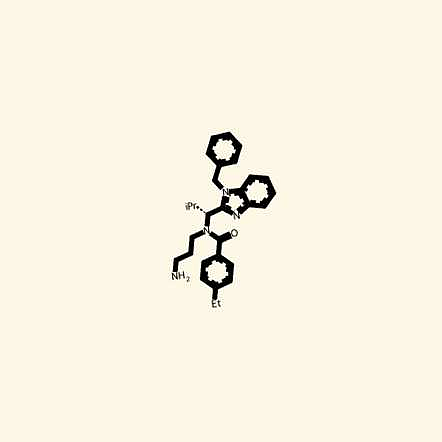 CCc1ccc(C(=O)N(CCCN)[C@@H](c2nc3ccccc3n2Cc2ccccc2)C(C)C)cc1